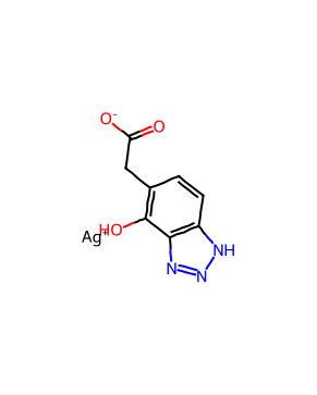 O=C([O-])Cc1ccc2[nH]nnc2c1O.[Ag+]